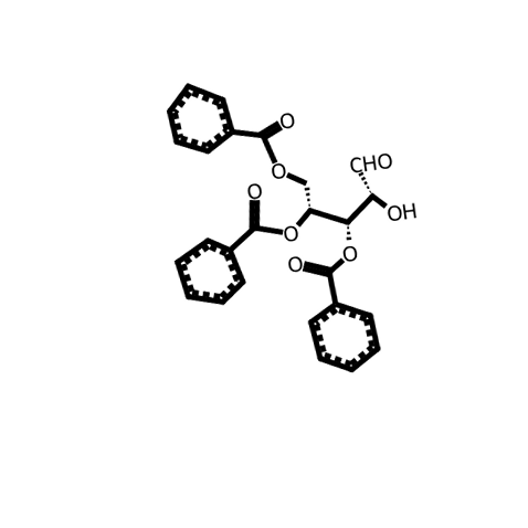 O=C[C@H](O)[C@H](OC(=O)c1ccccc1)[C@@H](COC(=O)c1ccccc1)OC(=O)c1ccccc1